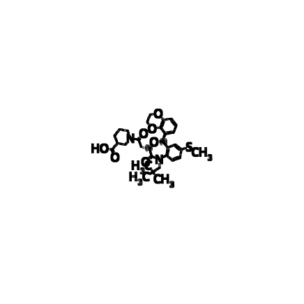 CSc1ccc2c(c1)[C@H](c1cccc3c1OCCO3)O[C@@H](CC(=O)N1CCCC(C(=O)O)C1)C(=O)N2CC(C)(C)C